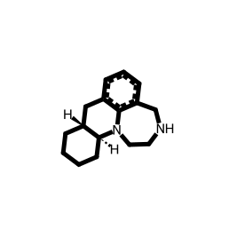 c1cc2c3c(c1)C[C@H]1CCCC[C@@H]1N3CCNC2